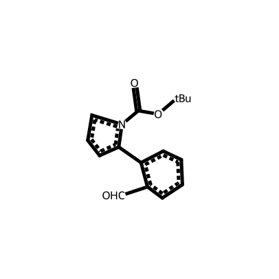 CC(C)(C)OC(=O)n1cccc1-c1ccccc1C=O